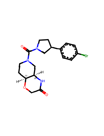 O=C1CO[C@H]2CCN(C(=O)N3CCC(c4ccc(Br)cc4)C3)C[C@H]2N1